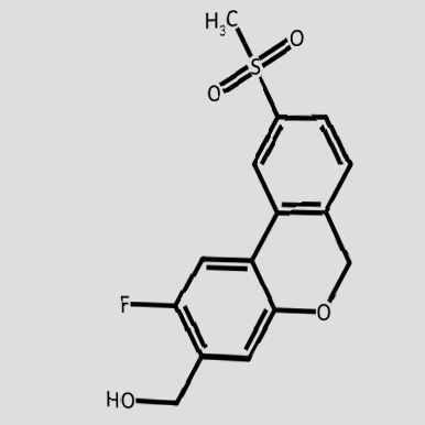 CS(=O)(=O)c1ccc2c(c1)-c1cc(F)c(CO)cc1OC2